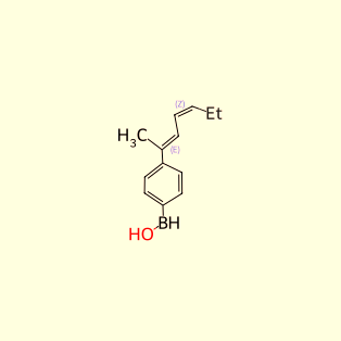 CC/C=C\C=C(/C)c1ccc(BO)cc1